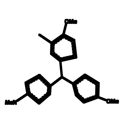 CNc1ccc(C(c2ccc(OC)cc2)c2ccc(OC)c(C)c2)cc1